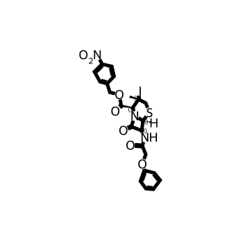 C[C@@]1(I)CS[C@H]2[C@H](NC(=O)COc3ccccc3)C(=O)N2[C@H]1C(=O)OCc1ccc([N+](=O)[O-])cc1